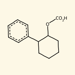 O=C(O)OC1CCCCC1c1ccccc1